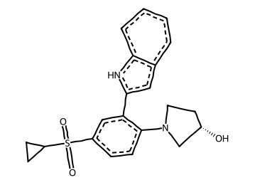 O=S(=O)(c1ccc(N2CC[C@H](O)C2)c(-c2cc3ccccc3[nH]2)c1)C1CC1